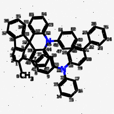 CC1C=CC2=C(C1c1ccc(N(c3ccccc3)c3ccc(-c4ccccc4)cc3)cc1)C1(c3ccccc32)c2ccccc2N(c2ccccc2)c2ccccc21